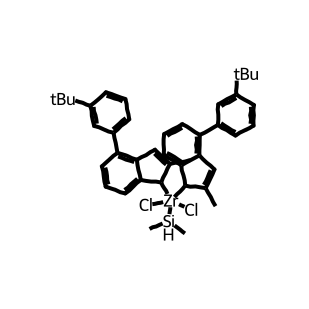 CC1=Cc2c(-c3cccc(C(C)(C)C)c3)cccc2[CH]1[Zr]([Cl])([Cl])([CH]1C(C)=Cc2c(-c3cccc(C(C)(C)C)c3)cccc21)[SiH](C)C